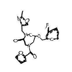 Cc1nc(CN2CC(OCc3ccccc3F)CN(C(=O)c3ccco3)CC2=O)co1